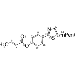 C/C=C/C(=O)Oc1ccc(-c2ncc(CCCCC)s2)cc1